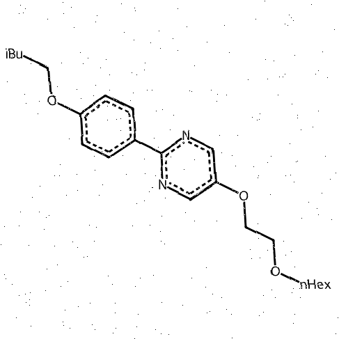 CCCCCCOCCOc1cnc(-c2ccc(OCC(C)CC)cc2)nc1